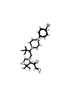 CC(C)(C)C(CN1COC(C)(C)C1C(=O)C=O)N1CCN(c2ccc(Br)cc2)CC1